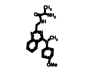 COc1ccc(N(C)c2nc(CNC(=O)C(C)N)nc3ccccc23)cc1